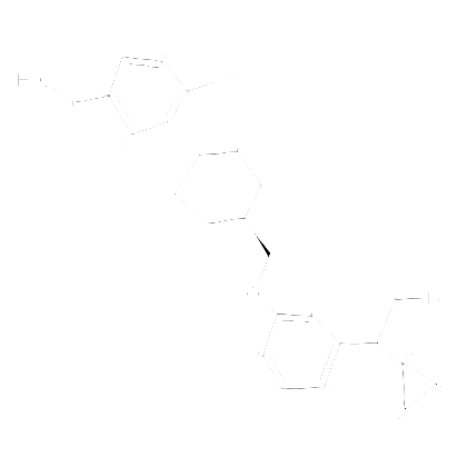 COc1ccc(F)c([C@H]2CC[C@H](COc3cccc(C(CI)C4CC4)c3)CC2)c1